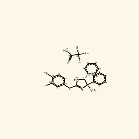 C[C@@]1(c2ccccc2)N=C(Cc2ccc(F)c(F)c2)N[C@@H]1c1ccccc1.O=C(O)C(F)(F)F